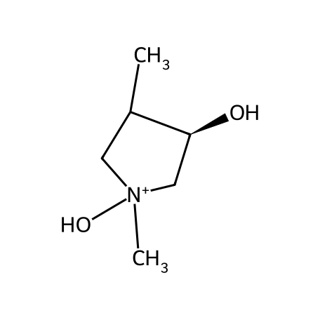 CC1C[N+](C)(O)C[C@@H]1O